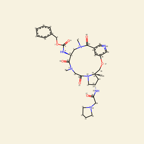 CN1C[C@H](NC(=O)OCc2ccccc2)C(=O)N(C)CC(=O)N2C[C@@H](NC(=O)CN3CCCC3)C[C@H]2COc2cncc(c2)C1=O